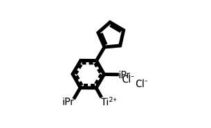 CC(C)c1ccc(C2=CC=CC2)c(C(C)C)[c]1[Ti+2].[Cl-].[Cl-]